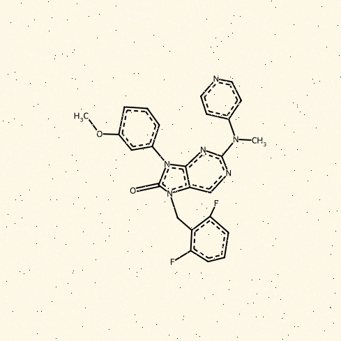 COc1cccc(-n2c(=O)n(Cc3c(F)cccc3F)c3cnc(N(C)c4ccncc4)nc32)c1